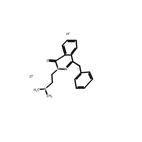 CN(C)CCn1nc(Cc2ccccc2)c2ccccc2c1=O.[Cl-].[H+]